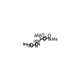 CNC(=O)c1ccc(C(C)CNc2cc(-c3ccc(OCC4CC4)nc3)ncn2)c(OC)c1